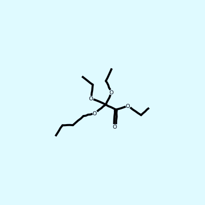 CCCCOC(OCC)(OCC)C(=O)OCC